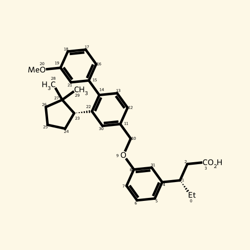 CC[C@@H](CC(=O)O)c1cccc(OCc2ccc(-c3cccc(OC)c3)c([C@@H]3CCCC3(C)C)c2)c1